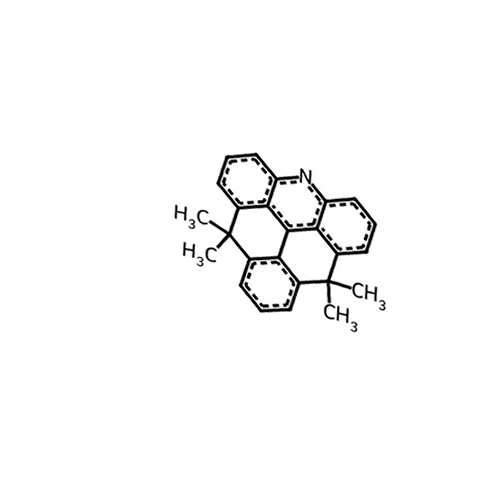 CC1(C)c2cccc3c2-c2c4c1cccc4nc1cccc(c21)C3(C)C